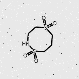 O=S1(=O)CCCS(=O)(=O)NCC1